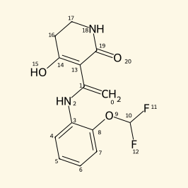 C=C(Nc1ccccc1OC(F)F)C1=C(O)CCNC1=O